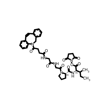 CCC(C)[C@H](NC(=O)[C@@H]1CCCN1C(=O)CNC(=O)CNC(=O)CCC(=O)N1Cc2ccccc2C#Cc2ccccc21)C(=O)ON1C(=O)CCC1=O